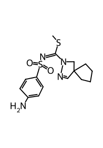 CS/C(=N/S(=O)(=O)c1ccc(N)cc1)N1CC2(C=N1)CCCC2